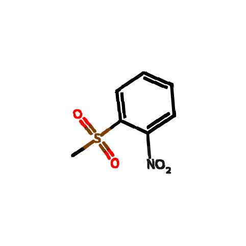 CS(=O)(=O)c1ccccc1[N+](=O)[O-]